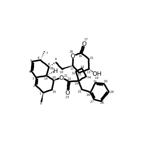 C[C@H]1C=C2C=C[C@H](C)[C@H](CC[C@@H]3C[C@@H](O)CC(=O)O3)[C@H]2[C@@H](OC(=O)C2(Cc3ccccc3)CCC2)C1